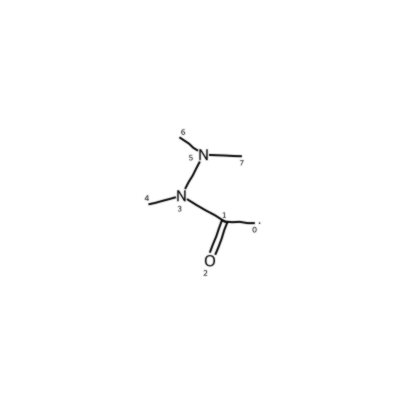 [CH2]C(=O)N(C)N(C)C